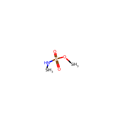 O=S(=O)(N[SiH3])O[SiH3]